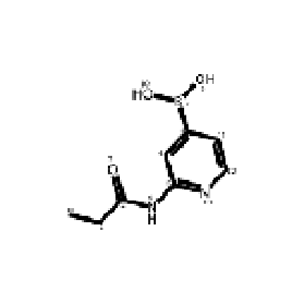 CCC(=O)Nc1cc(B(O)O)ccn1